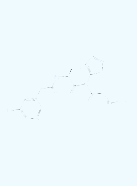 CCCCNCC(=O)N(C(=O)[C@H](C)NC(=O)Cc1cc(F)cc(F)c1)c1cccs1